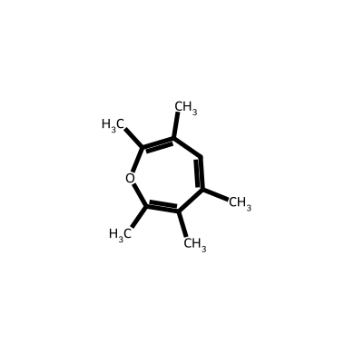 CC1=CC(C)=C(C)OC(C)=C1C